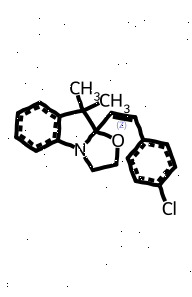 CC1(C)c2ccccc2N2CCOC21/C=C\c1ccc(Cl)cc1